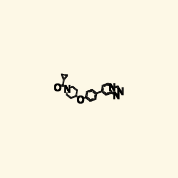 O=C(C1CC1)N1CCC(Oc2ccc(-c3ccn4cnnc4c3)cc2)CC1